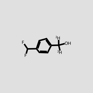 [2H]C([2H])(O)c1ccc(C(F)F)cc1